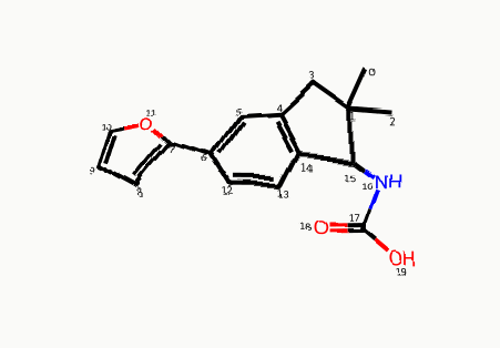 CC1(C)Cc2cc(-c3ccco3)ccc2C1NC(=O)O